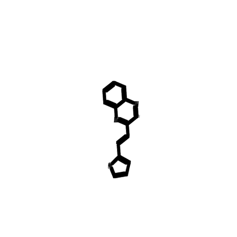 [c]1nc2ccccc2nc1C=Cc1cccs1